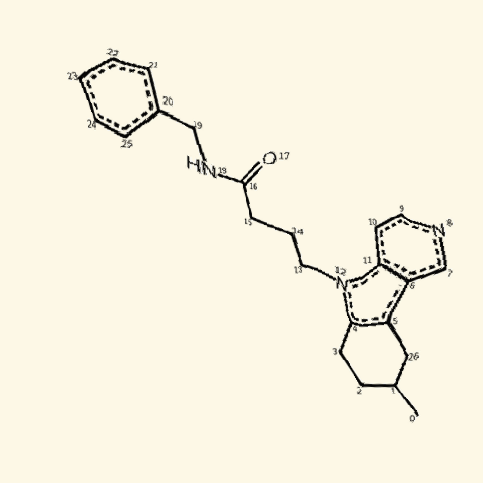 CC1CCc2c(c3cnccc3n2CCCC(=O)NCc2ccccc2)C1